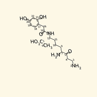 CC(=O)O.NCCC(=O)C(N)CCCCNC(=O)Cc1ccc(O)cc1O